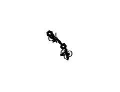 CCOC(=O)C(Cc1ccc(C#CCN(C)c2nc3ccccc3o2)cc1)OCC